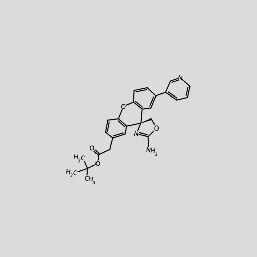 CC(C)(C)OC(=O)Cc1ccc2c(c1)[C@]1(COC(N)=N1)c1cc(-c3cccnc3)ccc1O2